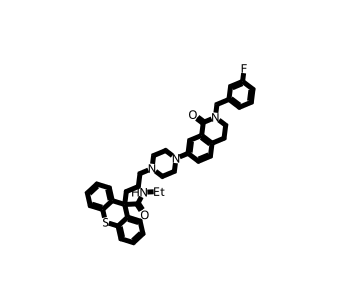 CCNC(=O)C1(CCCN2CCN(c3ccc4c(c3)C(=O)N(Cc3cccc(F)c3)CC4)CC2)c2ccccc2Sc2ccccc21